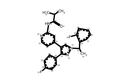 CC(C)C(=O)Nc1cc(-c2cn(C(C)c3ccccc3F)nc2-c2ccc(F)cc2)ccn1